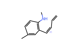 C=C/C=C\c1cc(C)ccc1NC